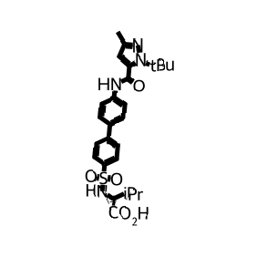 Cc1cc(C(=O)Nc2ccc(-c3ccc(S(=O)(=O)N[C@H](C(=O)O)C(C)C)cc3)cc2)n(C(C)(C)C)n1